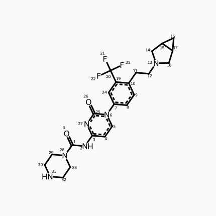 O=C(Nc1ccn(-c2ccc(CCN3CC4CC4C3)c(C(F)(F)F)c2)c(=O)n1)N1CCNCC1